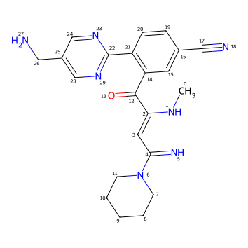 CN/C(=C\C(=N)N1CCCCC1)C(=O)c1cc(C#N)ccc1-c1ncc(CN)cn1